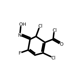 O=C(Cl)C1=C(Cl)C=C(F)C(=NO)C1Cl